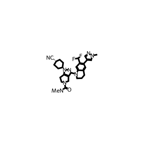 CNC(=O)N1CCc2c(c(N3CCCc4cc(-c5cnn(C)c5)c(C(F)F)cc43)nn2[C@H]2CC[C@@H](C#N)CC2)C1